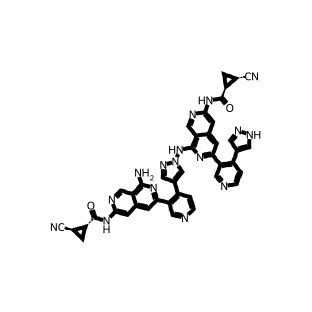 N#C[C@@H]1C[C@H]1C(=O)Nc1cc2cc(-c3cnccc3-c3cnn(Nc4nc(-c5cnccc5-c5cn[nH]c5)cc5cc(NC(=O)[C@H]6C[C@@H]6C#N)ncc45)c3)nc(N)c2cn1